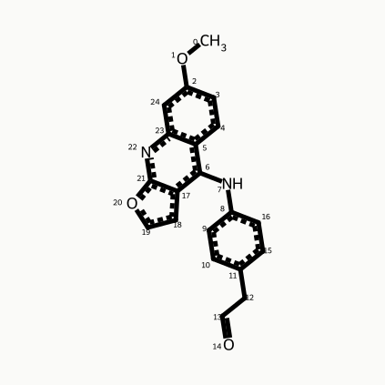 COc1ccc2c(Nc3ccc(CC=O)cc3)c3ccoc3nc2c1